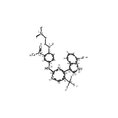 CN(C)CCN(C)c1ccc(Nc2ncc(C(F)(F)F)c(-c3c[nH]c4c(F)cccc34)n2)cc1[N+](=O)[O-]